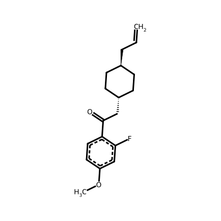 C=CC[C@H]1CC[C@H](CC(=O)c2ccc(OC)cc2F)CC1